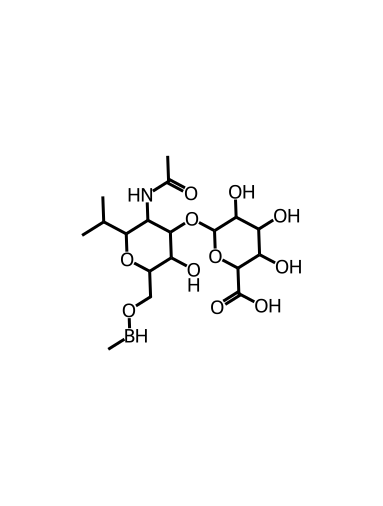 CBOCC1OC(C(C)C)C(NC(C)=O)C(OC2OC(C(=O)O)C(O)C(O)C2O)C1O